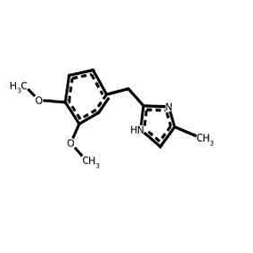 COc1ccc(Cc2nc(C)c[nH]2)cc1OC